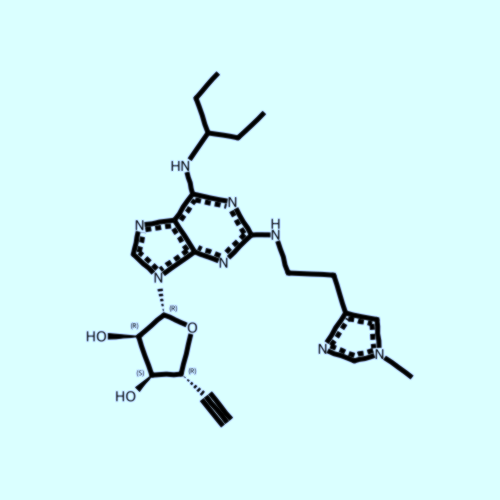 C#C[C@H]1O[C@@H](n2cnc3c(NC(CC)CC)nc(NCCc4cn(C)cn4)nc32)[C@H](O)[C@@H]1O